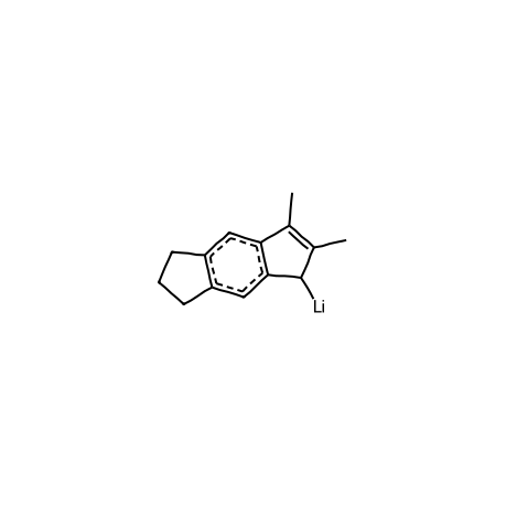 [Li][CH]1C(C)=C(C)c2cc3c(cc21)CCC3